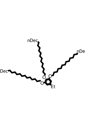 [CH2]Cc1cc(OCCCCCCCCCCCCCCCCCCCCCCC)c(OCCCCCCCCCCCCCCCCCCCCCCC)c(OCCCCCCCCCCCCCCCCCCCCCCC)c1